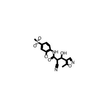 Cc1oncc1C(O)C(C#N)C(=O)Nc1ccc(S(C)(=O)=O)cc1Cl